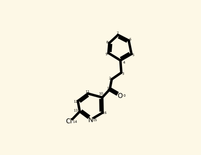 O=C(CCc1ccccc1)c1ccc(Cl)nc1